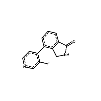 O=C1NCc2c1cccc2-c1ccncc1F